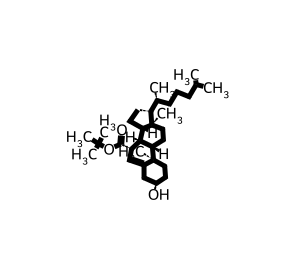 CC(C)CCC[C@@H](C)[C@H]1CC[C@H]2[C@@H]3[C@@H](C(=O)OC(C)(C)C)C=C4C[C@@H](O)CC[C@]4(C)[C@H]3CC[C@]12C